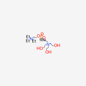 CC[N+](CC)(CC)CCOP(=O)(OCC[N+](CCO)(CCO)CCO)C(C)(C)C